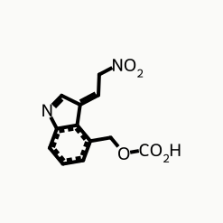 O=C(O)OCc1cccc2c1C(=CC[N+](=O)[O-])C=N2